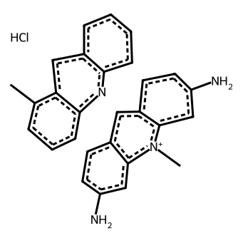 C[n+]1c2cc(N)ccc2cc2ccc(N)cc21.Cc1cccc2nc3ccccc3cc12.Cl